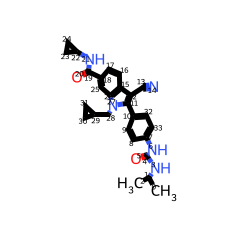 CC(C)NC(=O)Nc1ccc(-c2c(C#N)c3ccc(C(=O)NC4CC4)cc3n2CC2CC2)cc1